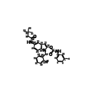 Cc1cccc(NC(=O)Oc2cc3cc(NC(=O)CC(C)(C)C)ccc3n2Cc2ccccc2F)c1